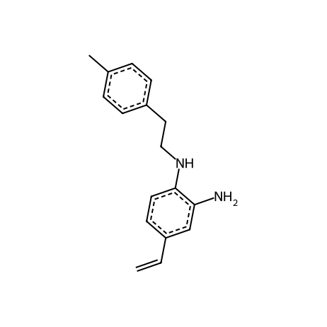 C=Cc1ccc(NCCc2ccc(C)cc2)c(N)c1